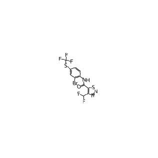 O=C(Nc1ccc(SC(F)(F)F)cc1Br)c1snnc1C(F)F